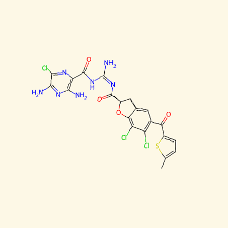 Cc1ccc(C(=O)c2cc3c(c(Cl)c2Cl)OC(C(=O)N=C(N)NC(=O)c2nc(Cl)c(N)nc2N)C3)s1